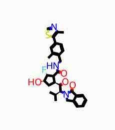 Cc1cc(-c2scnc2C)ccc1CNC(=O)C1[C@@H](C(=O)[C@H](C(C)C)N2Cc3ccccc3C2=O)C[C@H](O)[C@@H]1F